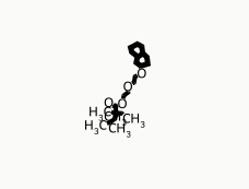 CCC(C)(CC(C)(C)C)C(=O)OCCOCCOc1ccc2ccccc2c1